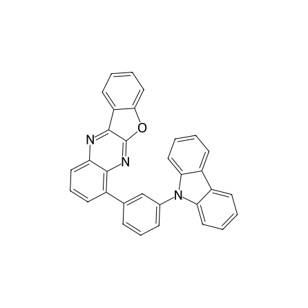 c1cc(-c2cccc3nc4c(nc23)oc2ccccc24)cc(-n2c3ccccc3c3ccccc32)c1